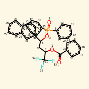 O=C(OC(CC(OP(=O)(c1ccccc1)c1ccccc1)c1ccc2ccccc2c1)C(F)(F)F)c1ccccc1